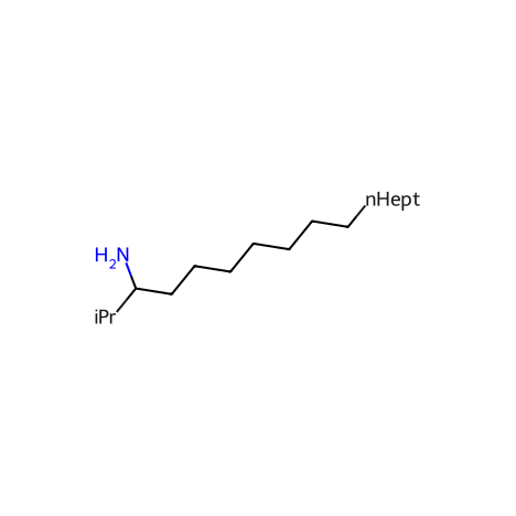 CCCCCCCCCCCCCCC(N)C(C)C